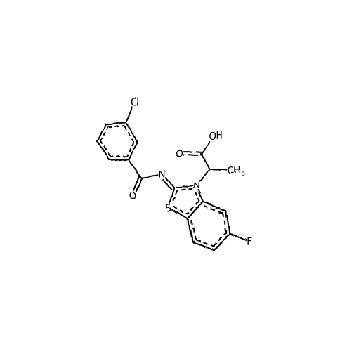 CC(C(=O)O)n1c(=NC(=O)c2cccc(Cl)c2)sc2ccc(F)cc21